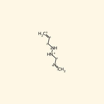 C=CCNNCN=C